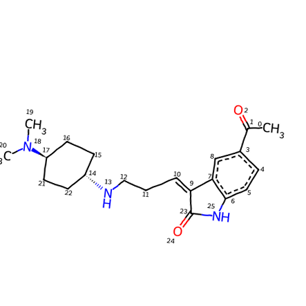 CC(=O)c1ccc2c(c1)C(=CCCN[C@H]1CC[C@H](N(C)C)CC1)C(=O)N2